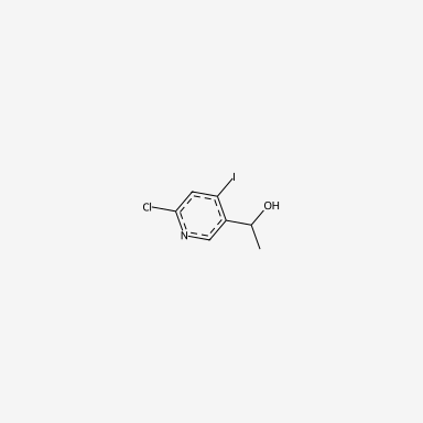 CC(O)c1cnc(Cl)cc1I